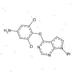 CC(C)n1ccc2c(Oc3c(Cl)cc(N)cc3Cl)ncnc21